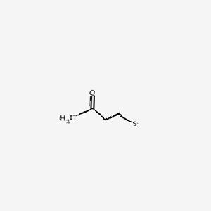 CC(=O)CC[S]